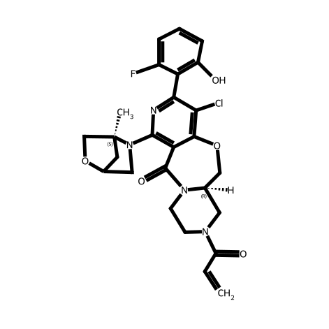 C=CC(=O)N1CCN2C(=O)c3c(N4CC5C[C@@]4(C)CO5)nc(-c4c(O)cccc4F)c(Cl)c3OC[C@H]2C1